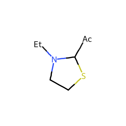 CCN1CCSC1C(C)=O